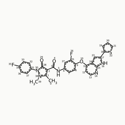 Cc1c(C(=O)Nc2ccc(Oc3ccnc4[nH]c(-c5cccs5)cc34)c(F)c2)c(=O)n(-c2ccc(F)cc2)n1C